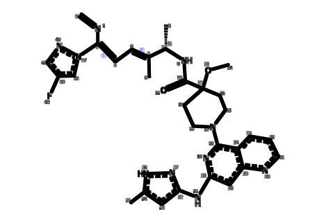 C=N/C(=C\C=C(/C)[C@H](C)NC(=O)C1(OC)CCN(c2nc(Nc3cc(C)[nH]n3)cc3ncccc23)CC1)n1cc(F)cn1